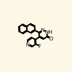 O=c1cc(-c2ccncc2F)c(-c2ccc3ccccc3c2)n[nH]1